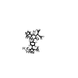 CCCn1nccc1C(=O)N[C@H](C(=O)Nc1ccc(-c2c(C3CC3)n[nH]c2C)cc1)C(C1CC1)C1CC1